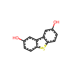 Oc1ccc2sc3ccc(O)cc3c2c1